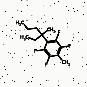 CCCC(C)(CC)c1c(F)c(F)c(C)c(F)c1F